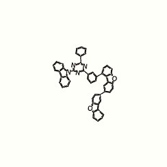 c1ccc(-c2nc(-c3cccc(-c4cccc5oc6ccc(-c7ccc8oc9ccccc9c8c7)cc6c45)c3)nc(-n3c4ccccc4c4ccccc43)n2)cc1